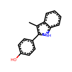 Cc1c(-c2ccc(O)cc2)[nH]c2ccccc12